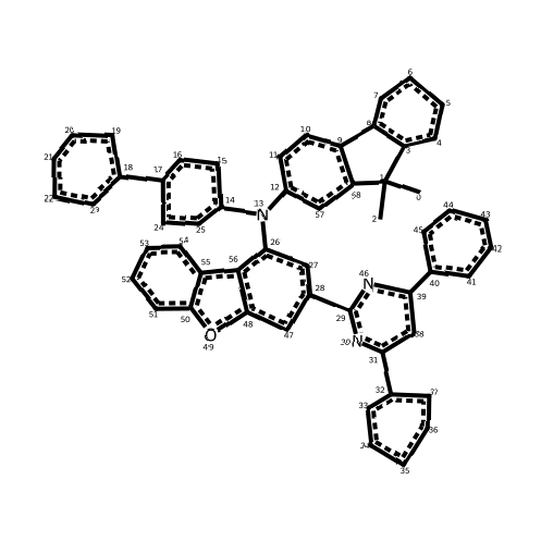 CC1(C)c2ccccc2-c2ccc(N(c3ccc(-c4ccccc4)cc3)c3cc(-c4nc(-c5ccccc5)cc(-c5ccccc5)n4)cc4oc5ccccc5c34)cc21